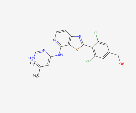 C=C(C)/C=C(\N=C/N)Nc1nccc2nc(-c3c(Cl)cc(CO)cc3Cl)sc12